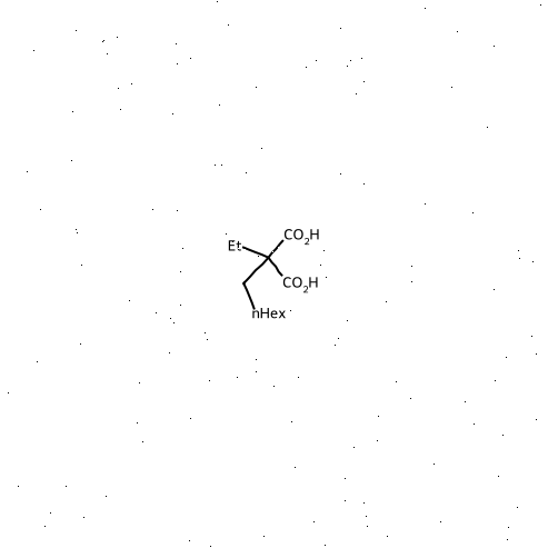 CCCCCCCC(CC)(C(=O)O)C(=O)O